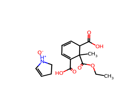 CCOC(=O)C1(C)C(C(=O)O)=CC=CC1C(=O)O.[O-][NH+]1C=CCC1